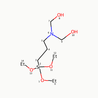 CCO[Si](CCCN(CO)CO)(OCC)OCC